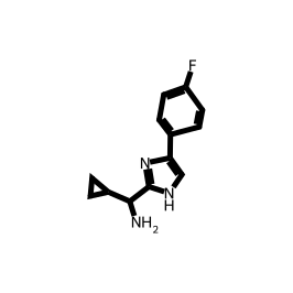 NC(c1nc(-c2ccc(F)cc2)c[nH]1)C1CC1